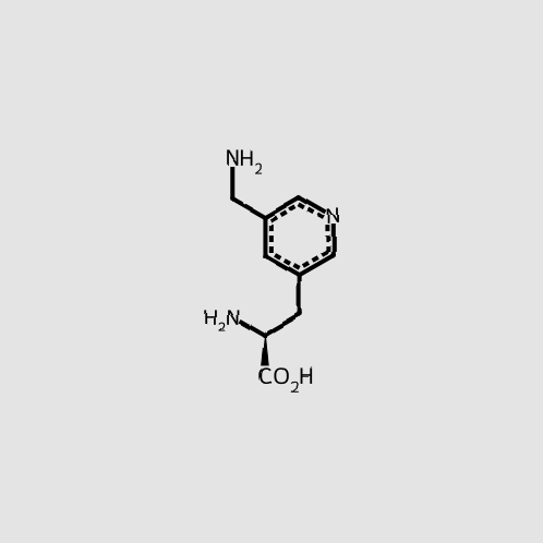 NCc1cncc(C[C@H](N)C(=O)O)c1